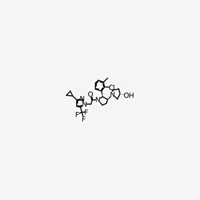 Cc1cccc([C@H]2[C@@H](N3CC[C@H](O)C3)CCN2C(=O)Cn2nc(C3CC3)cc2C(F)(F)F)c1Cl